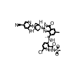 Cc1cc([C@@H](C)Nc2ccc(Cl)nc2C(=O)NS(C)(=O)=O)c2nc(N3C[C@@H]4C[C@H]3CN4c3ncc(C#N)cc3F)n(C)c(=O)c2c1